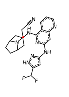 N#CCCN1C2CCC1CC(Nc1nc(Nc3cc(C(F)F)[nH]n3)cc3ncccc13)C2